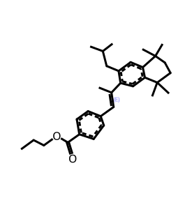 CCCOC(=O)c1ccc(/C=C(\C)c2cc3c(cc2CC(C)C)C(C)(C)CCC3(C)C)cc1